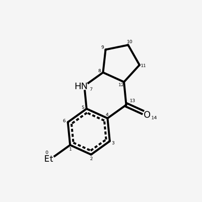 CCc1ccc2c(c1)NC1CCCC1C2=O